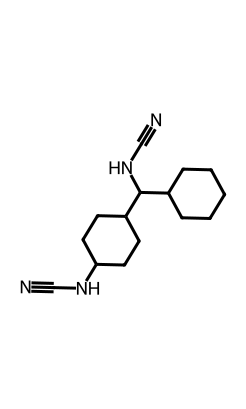 N#CNC1CCC(C(NC#N)C2CCCCC2)CC1